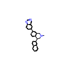 CN1Cc2cc(-c3ccc4ncncc4c3)ccc2C(c2ccc3ccccc3c2)C1